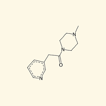 CN1CCN(C(=O)Cc2cccnc2)CC1